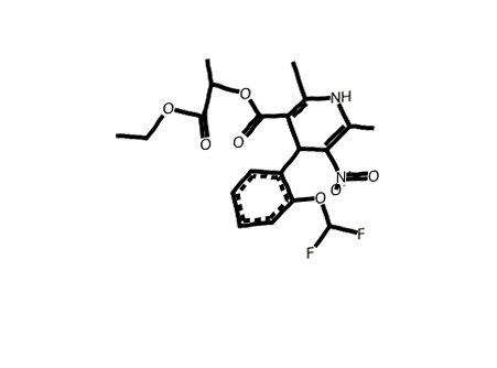 CCOC(=O)C(C)OC(=O)C1=C(C)NC(C)=C([N+](=O)[O-])C1c1ccccc1OC(F)F